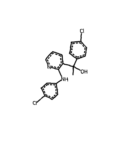 CC(O)(c1ccc(Cl)cc1)c1cccnc1Nc1ccc(Cl)cc1